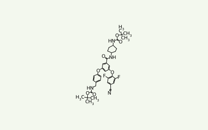 CC(C)(C)OC(=O)NCc1ccc(Oc2cc(Oc3c(F)cc(C#N)cc3F)cc(C(=O)NC3CCC(NC(=O)OC(C)(C)C)CC3)c2)cc1